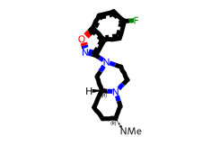 CN[C@@H]1CC[C@@H]2CN(c3noc4ccc(F)cc34)CCN2C1